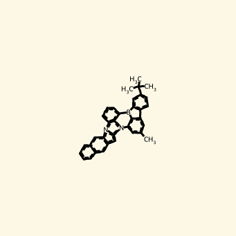 Cc1cc2c3c(c1)-n1c4c(cccc4n4c5cc6ccccc6cc5cc14)B3c1cc(C(C)(C)C)ccc1-2